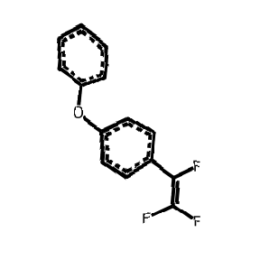 FC(F)=C(F)c1ccc(Oc2ccccc2)cc1